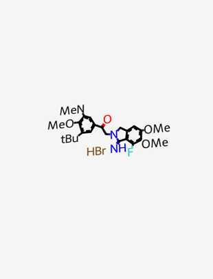 Br.CNc1cc(C(=O)CN2Cc3cc(OC)c(OC)c(F)c3C2=N)cc(C(C)(C)C)c1OC